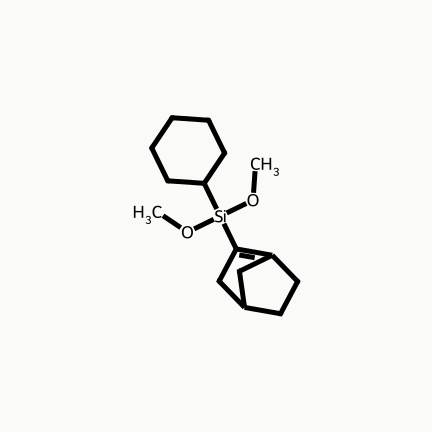 CO[Si](OC)(C1=C2CCC(C2)C1)C1CCCCC1